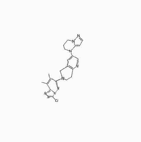 Cc1c(N2CCc3ncc(N4CCCn5nccc54)cc3C2)nn2c(Cl)nnc2c1C